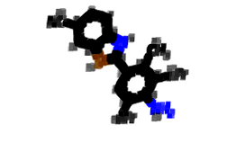 CCCc1cc(-c2nc3ccc(C#N)cc3s2)c(C)c(CCC)c1N